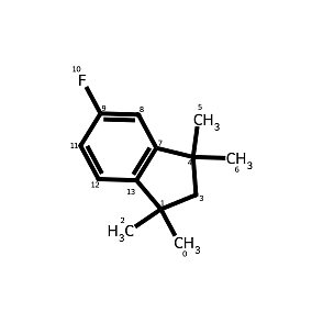 CC1(C)CC(C)(C)c2cc(F)ccc21